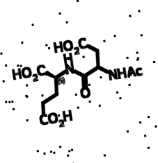 CC(=O)NC(CC(=O)O)C(=O)N[C@@H](CCC(=O)O)C(=O)O